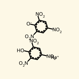 O=[N+]([O-])c1cc([N+](=O)[O-])c(O)c([N+](=O)[O-])c1.O=[N+]([O-])c1cc([N+](=O)[O-])c([O-])c([N+](=O)[O-])c1.[Na+]